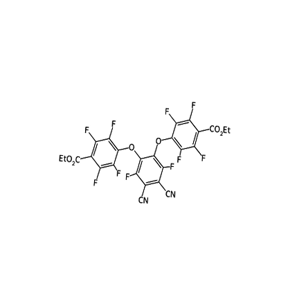 CCOC(=O)c1c(F)c(F)c(Oc2c(F)c(C#N)c(C#N)c(F)c2Oc2c(F)c(F)c(C(=O)OCC)c(F)c2F)c(F)c1F